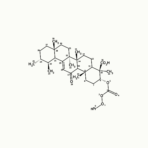 CCCOOC(=O)O[C@@H]1CC[C@@]2(C)C(CC[C@]3(C)C2C(=O)C=C2C4[C@@H](C)[C@H](C)CC[C@]4(C)CC[C@]23C)[C@@]1(C)C(=O)O